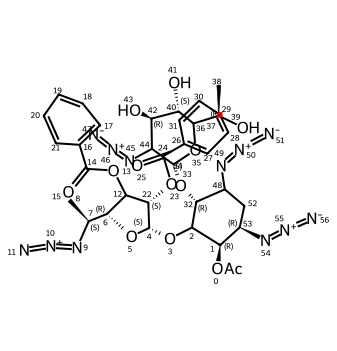 CC(=O)O[C@H]1C(O[C@@H]2O[C@H]([C@H](C)N=[N+]=[N-])C(OC(=O)c3ccccc3)[C@@H]2OC(=O)c2ccccc2)[C@H](O[C@H]2OC([C@@H](C)O)[C@@H](O)[C@H](O)C2N=[N+]=[N-])C(N=[N+]=[N-])C[C@H]1N=[N+]=[N-]